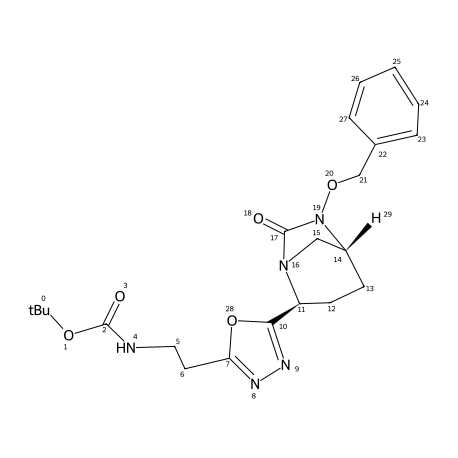 CC(C)(C)OC(=O)NCCc1nnc([C@@H]2CC[C@@H]3CN2C(=O)N3OCc2ccccc2)o1